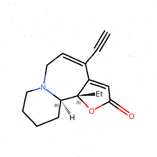 C#CC1=CCN2CCCC[C@@H]2[C@@]2(CC)OC(=O)C=C12